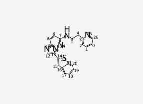 c1ccc(CCNc2ccc3ncc(-c4cc5ccccc5s4)n3n2)nc1